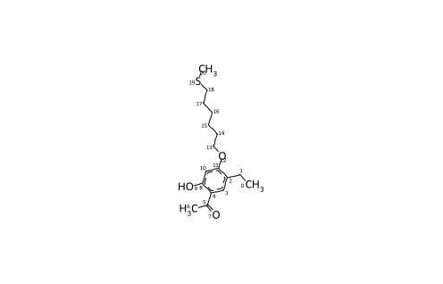 CCc1cc(C(C)=O)c(O)cc1OCCCCCCSC